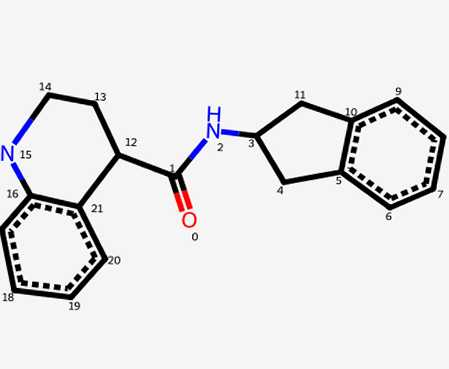 O=C(NC1Cc2ccccc2C1)C1CCNc2ccccc21